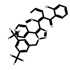 C=N/C(=C(\C=C/C)C(=O)c1ccccc1Cl)c1nnn(Cc2cc(C(F)(F)F)cc(C(F)(F)F)c2)c1-c1ccncc1